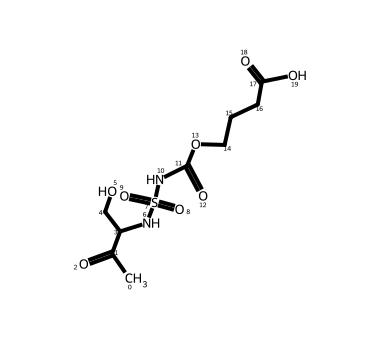 CC(=O)C(CO)NS(=O)(=O)NC(=O)OCCCC(=O)O